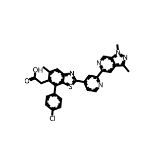 Cc1cc2nc(-c3ccnc(-c4cc5c(C)nn(C)c5cn4)c3)sc2c(-c2ccc(Cl)cc2)c1CC(=O)O